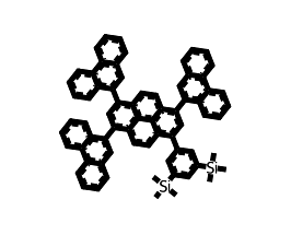 C[Si](C)(C)c1cc(-c2cc(-c3cc4ccccc4c4ccccc34)c3ccc4c(-c5cc6ccccc6c6ccccc56)cc(-c5cc6ccccc6c6ccccc56)c5ccc2c3c54)cc([Si](C)(C)C)c1